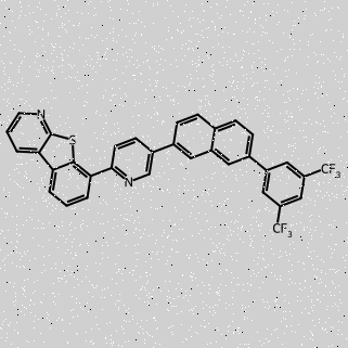 FC(F)(F)c1cc(-c2ccc3ccc(-c4ccc(-c5cccc6c5sc5ncccc56)nc4)cc3c2)cc(C(F)(F)F)c1